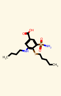 CCCCCSc1c(NCCCC)cc(C(=O)O)cc1S(N)(=O)=O